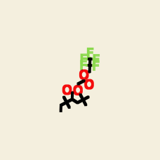 CCC(C)(C)C(CC(C)(C)C)C(=O)OCC(=O)OCC(F)(F)C(F)(F)F